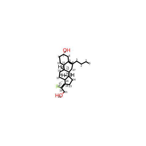 CCCCC1=C2C[C@@H](O)CC[C@]2(C)[C@H]2CC[C@]3(C)C(=C(F)CO)CC[C@H]3[C@@H]2C1